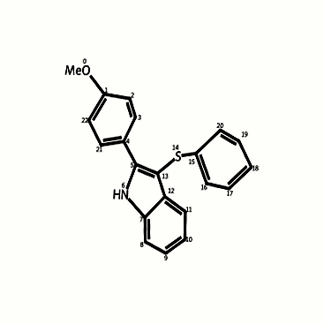 COc1ccc(-c2[nH]c3ccccc3c2Sc2ccccc2)cc1